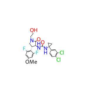 COc1cc(F)c([C@@H]2CN(CCO)C(=O)[C@H]2NC(=O)NC2(c3ccc(Cl)c(Cl)c3)CC2)c(F)c1